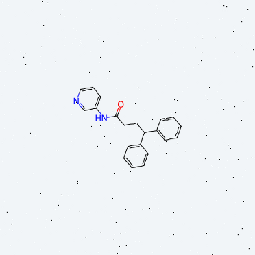 O=C(CCC(c1ccccc1)c1ccccc1)Nc1cccnc1